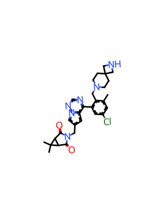 Cc1cc(Cl)cc(-c2ncnn3cc(CN4C(=O)C5C(C4=O)C5(C)C)cc23)c1CN1CCC2(CC1)CNC2